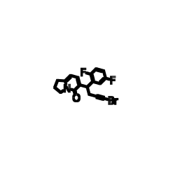 O=c1c(C(CC#CBr)c2cc(F)ccc2F)ccc2n1CCC2